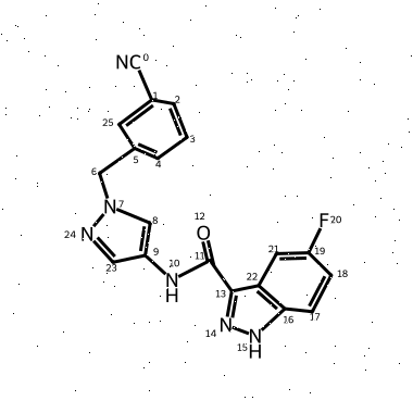 N#Cc1cccc(Cn2cc(NC(=O)c3n[nH]c4ccc(F)cc34)cn2)c1